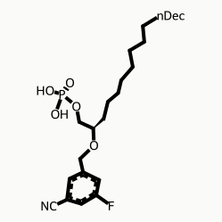 CCCCCCCCCCCCCCCCCC[C@H](COP(=O)(O)O)OCc1cc(F)cc(C#N)c1